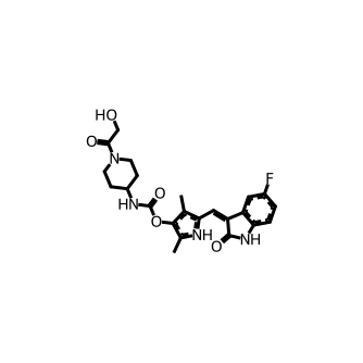 Cc1[nH]c(/C=C2\C(=O)Nc3ccc(F)cc32)c(C)c1OC(=O)NC1CCN(C(=O)CO)CC1